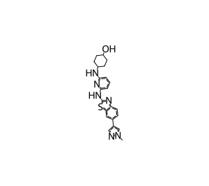 Cn1cc(-c2ccc3nc(Nc4cccc(NC5CCC(O)CC5)n4)sc3c2)cn1